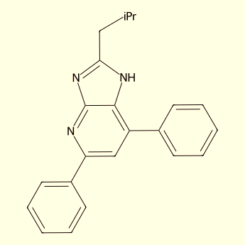 CC(C)Cc1nc2nc(-c3ccccc3)cc(-c3ccccc3)c2[nH]1